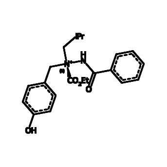 CCOC(=O)[N@@+](Cc1ccc(O)cc1)(CC(C)C)NC(=O)c1ccccc1